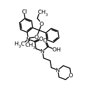 CCOC(OCC)(c1ccccc1)c1cc(Cl)ccc1N(C)C(=O)CN(CCCN1CCOCC1)C(=O)O